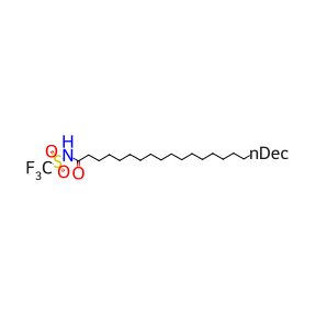 CCCCCCCCCCCCCCCCCCCCCCCCCCC(=O)NS(=O)(=O)C(F)(F)F